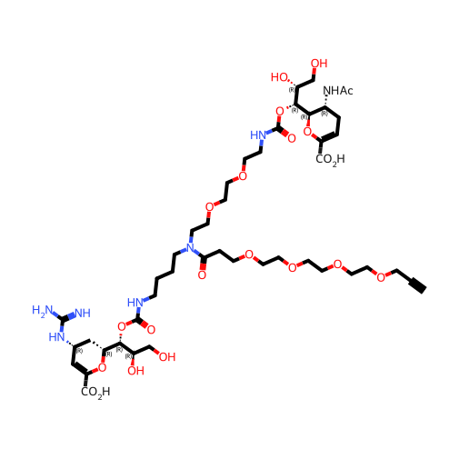 C#CCOCCOCCOCCOCCC(=O)N(CCCCNC(=O)O[C@H]([C@H](O)CO)[C@H]1C[C@@H](NC(=N)N)C=C(C(=O)O)O1)CCOCCOCCNC(=O)O[C@@H]([C@@H]1OC(C(=O)O)=CC[C@H]1NC(C)=O)[C@H](O)CO